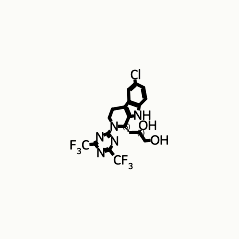 OC[C@@H](O)C[C@H]1c2[nH]c3ccc(Cl)cc3c2CCN1c1nc(C(F)(F)F)nc(C(F)(F)F)n1